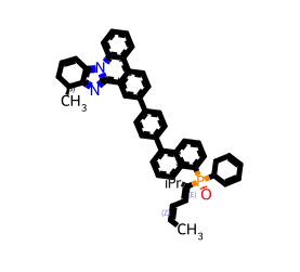 C/C=C\C=C(/C(C)C)P(=O)(c1cccc2c(-c3ccc(-c4ccc5c6ccccc6n6c7c(nc6c5c4)[C@@H](C)CC=C7)cc3)cccc12)C1C=CC=CC1